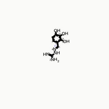 N=C(N)N/N=C/c1ccc(O)c(O)c1O